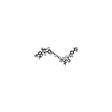 COc1cc(OCCOCCOCC(=O)N[C@H](C(=O)N2CCCC2C(=O)NCc2ccc(-c3scnc3C)cc2)C(C)(C)C)ncc1N1C(=S)N(c2ccc(C#N)c(C(F)(F)F)c2F)C(=O)C1(C)C